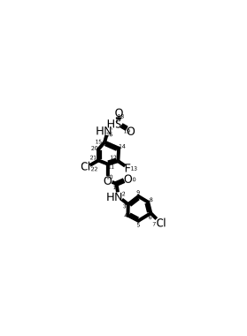 O=C(Nc1ccc(Cl)cc1)Oc1c(F)cc(N[SH](=O)=O)cc1Cl